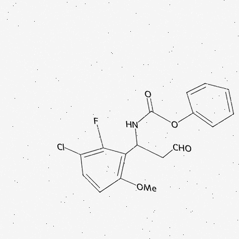 COc1ccc(Cl)c(F)c1C(CC=O)NC(=O)Oc1ccccc1